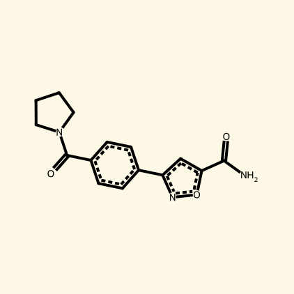 NC(=O)c1cc(-c2ccc(C(=O)N3CCCC3)cc2)no1